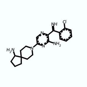 N=C(c1ccccc1Cl)c1ncc(N2CCC3(CCCC3N)CC2)nc1N